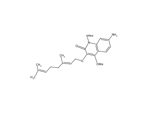 CCCCCCn1c(=O)c(OC/C=C(\C)CCC=C(C)C)c(OC)c2ccc(N)cc21